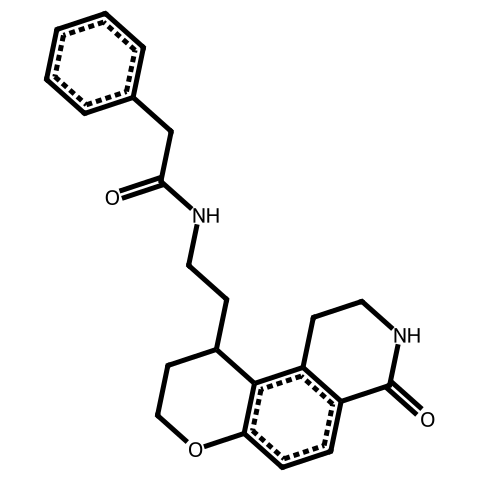 O=C(Cc1ccccc1)NCCC1CCOc2ccc3c(c21)CCNC3=O